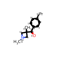 CC(C)c1ccc(C(=O)C2(C)CN(C)C2)cc1